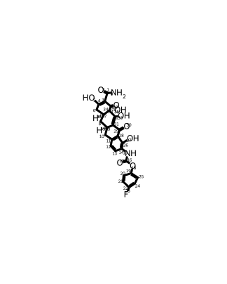 NC(=O)C1=C(O)C[C@@H]2C[C@@H]3Cc4ccc(NC(=O)Oc5ccc(F)cc5)c(O)c4C(=O)C3=C(O)[C@]2(O)C1=O